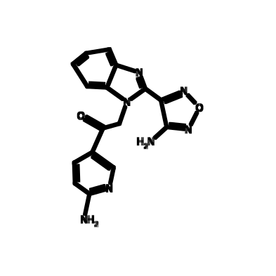 Nc1ccc(C(=O)Cn2c(-c3nonc3N)nc3ccccc32)cn1